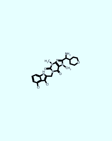 Cn1c(C(N)C2CCOCC2)nc2c1c(=O)n(Cc1[nH]c3cccc(Cl)c3c1Cl)c(=O)n2C